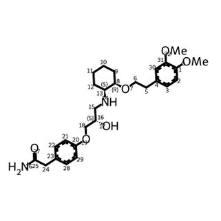 COc1ccc(CCO[C@@H]2CCCC[C@@H]2NC[C@H](O)COc2ccc(CC(N)=O)cc2)cc1OC